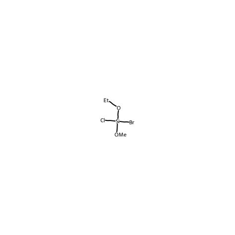 CCO[Si](Cl)(Br)OC